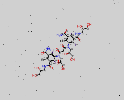 CCc1c(C(N)=O)c(I)c(N(CC(O)CO)C(=O)CC(=O)N(CC(O)CO)c2c(I)c(C(=O)NCC(O)CO)c(I)c(C(N)=O)c2CC)c(I)c1C(=O)NCC(O)CO